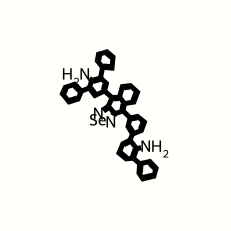 Nc1c(-c2ccccc2)cccc1-c1cccc(-c2c3ccccc3c(-c3cc(-c4ccccc4)c(N)c(-c4ccccc4)c3)c3n[se]nc23)c1